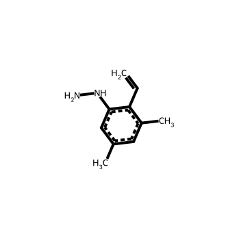 C=Cc1c(C)cc(C)cc1NN